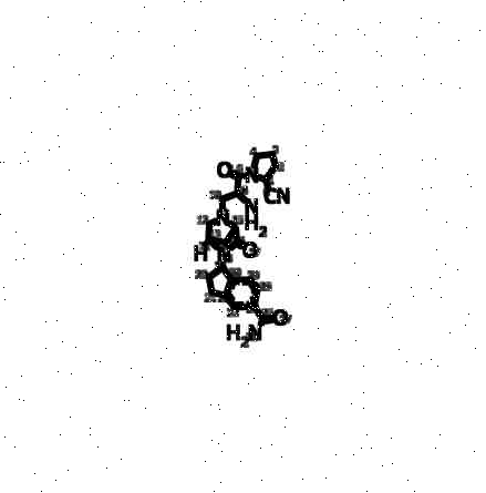 N#CC1CCCN1C(=O)C(N)CN1C[C@@H]2CC1C(=O)N2[C@H]1CCc2cc(C(N)=O)ccc21